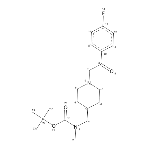 CN(CC1CCN(CC(=O)c2ccc(F)cc2)CC1)C(=O)OC(C)(C)C